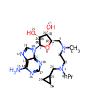 CCCN(CCN(C)C[C@H]1O[C@@H](n2cnc3c(N)ncnc32)[C@H](O)[C@@H]1O)CC1CC1